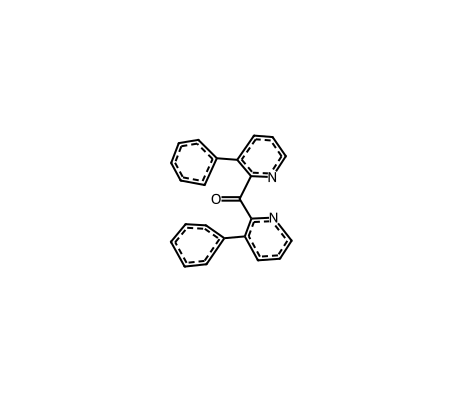 O=C(c1ncccc1-c1ccccc1)c1ncccc1-c1ccccc1